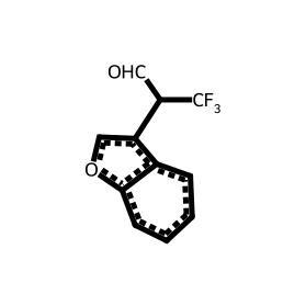 O=CC(c1coc2ccccc12)C(F)(F)F